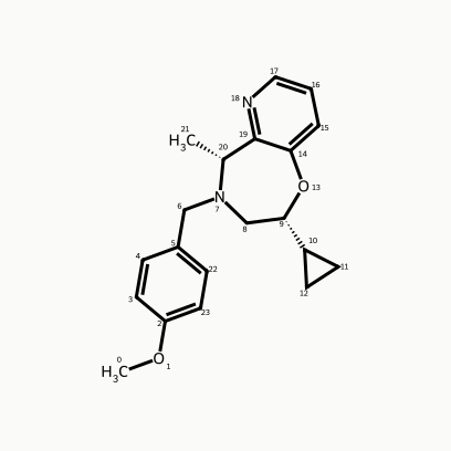 COc1ccc(CN2C[C@@H](C3CC3)Oc3cccnc3[C@H]2C)cc1